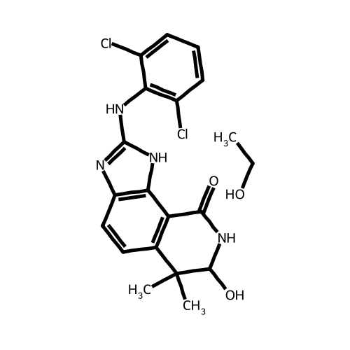 CC1(C)c2ccc3nc(Nc4c(Cl)cccc4Cl)[nH]c3c2C(=O)NC1O.CCO